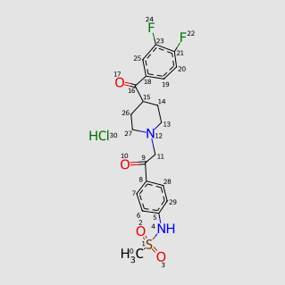 CS(=O)(=O)Nc1ccc(C(=O)CN2CCC(C(=O)c3ccc(F)c(F)c3)CC2)cc1.Cl